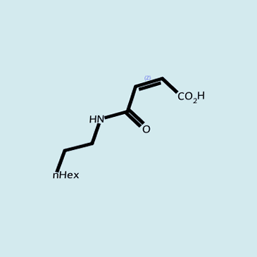 CCCCCCCCNC(=O)/C=C\C(=O)O